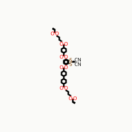 C=CC(=O)OCCCCOC(=O)C1CCC(C(=O)Oc2ccc(OC(=O)C3CCC(C4CCC(C(=O)OCCCCOC(=O)C=C)CC4)CC3)c3c2SC(=C(C#N)C#N)S3)CC1